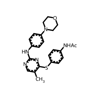 CC(=O)Nc1ccc(Sc2nc(Nc3ccc(N4CCOCC4)cc3)ncc2C)cc1